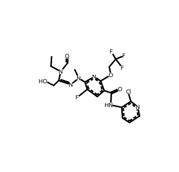 CCN(C=O)/C(CO)=N\N(C)c1nc(OCC(F)(F)F)c(C(=O)Nc2cccnc2Cl)cc1F